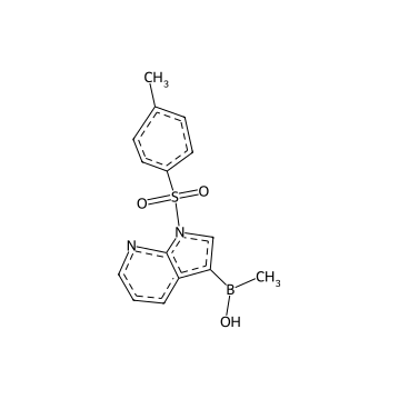 CB(O)c1cn(S(=O)(=O)c2ccc(C)cc2)c2ncccc12